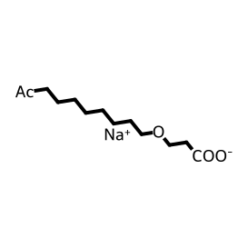 CC(=O)CCCCCCCCOCCC(=O)[O-].[Na+]